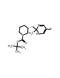 CC1(C[C@H]2CCCN(C(=O)OC(C)(C)C)C2)N=CC(F)=CN1